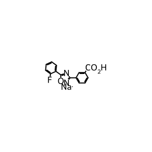 O=C(O)c1cccc(-c2noc(-c3ccccc3F)n2)c1.[Na]